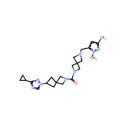 Cn1nc(C(F)(F)F)cc1CN1CC2(C1)CN(C(=O)N1CC3(CC(n4cnc(C5CC5)n4)C3)C1)C2